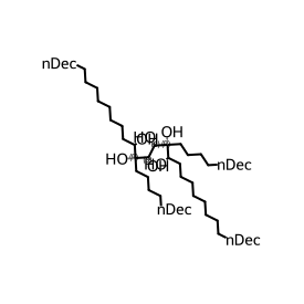 CCCCCCCCCCCCCCCCCCC(O)[C@](O)(CCCCCCCCCCCCCC)[C@@H](O)[C@H](O)[C@@](O)(CCCCCCCCCCCCCC)C(O)CCCCCCCCCCCCCCCCCC